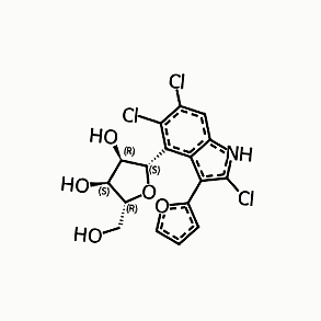 OC[C@H]1O[C@@H](c2c(Cl)c(Cl)cc3[nH]c(Cl)c(-c4ccco4)c23)[C@H](O)[C@@H]1O